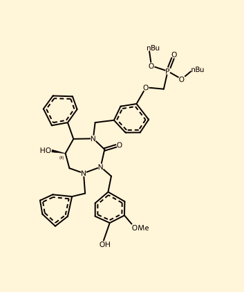 CCCCOP(=O)(COc1cccc(CN2C(=O)N(Cc3ccc(O)c(OC)c3)N(Cc3ccccc3)C[C@@H](O)C2c2ccccc2)c1)OCCCC